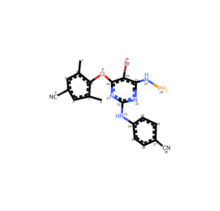 Cc1cc(C#N)cc(C)c1Oc1nc(Nc2ccc(C#N)cc2)nc(NP)c1Br